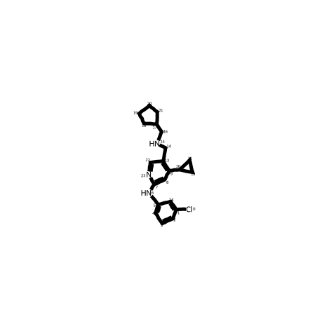 Clc1cccc(Nc2cc(C3CC3)c(CNCC3CCCC3)cn2)c1